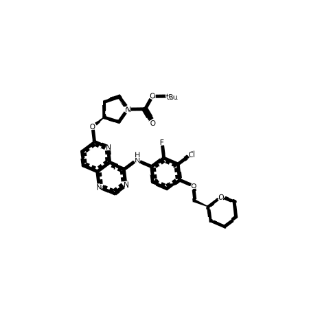 CC(C)(C)OC(=O)N1CC[C@H](Oc2ccc3ncnc(Nc4ccc(OC[C@@H]5CCCCO5)c(Cl)c4F)c3n2)C1